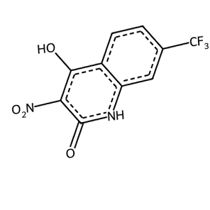 O=c1[nH]c2cc(C(F)(F)F)ccc2c(O)c1[N+](=O)[O-]